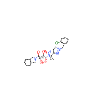 O=C(NC1(c2ccn(Cc3ccccc3Cl)n2)CC1)[C@H](O)[C@@H](O)C(=O)N1Cc2ccccc2C1